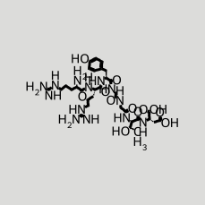 C[C@@H](O)[C@H](NC(=O)CNC(=O)CNC(=O)[C@H](Cc1ccc(O)cc1)NC(=O)[C@H](CCCNC(=N)N)NC(=O)[C@@H](N)CCCNC(=N)N)C(=O)N[C@@H](CC(=O)O)C(=O)O